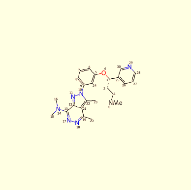 CNCC[C@H](Oc1cccc(-n2nc3c(N(C)C)nnc(C)c3c2C)c1)c1cccnc1